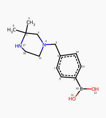 CC1(C)CN(Cc2ccc(B(O)O)cc2)CCN1